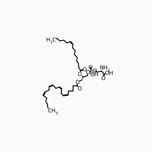 CCCCC/C=C\C/C=C\C/C=C\C/C=C\CCCC(=O)OC[C@H](COP(=O)(O)OC[C@H](N)C(=O)O)OC(=O)CCCCCCC/C=C\CCCCC